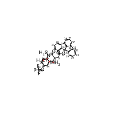 C[C@@H](CN)N(C)C(=O)[C@@H](CC(=O)OC(c1ccccc1)(c1ccccc1)c1ccccc1Cl)Cc1cccc(OC(F)(F)F)c1